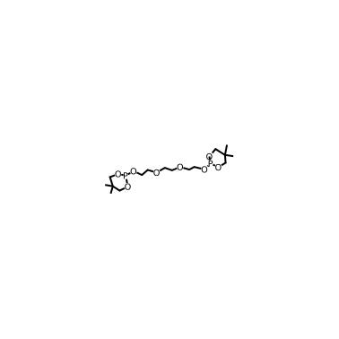 CC1(C)COP(OCCOCCOCCOP2OCC(C)(C)CO2)OC1